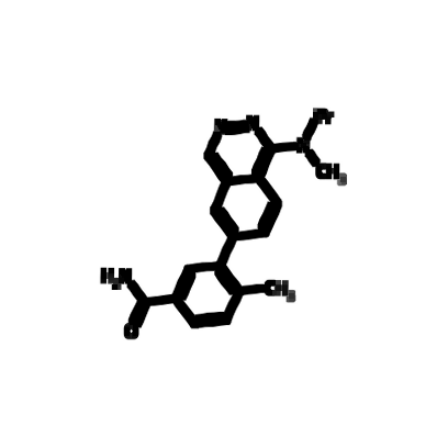 Cc1ccc(C(N)=O)cc1-c1ccc2c(N(C)C(C)C)nncc2c1